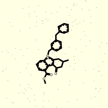 COC(=O)c1cccc2c1c1c(n2Cc2cccc(Cc3ccccc3)c2)CC(C)CC1=O